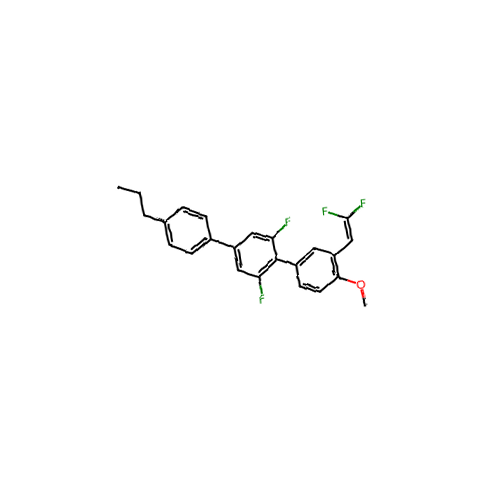 CCCc1ccc(-c2cc(F)c(-c3ccc(OC)c(C=C(F)F)c3)c(F)c2)cc1